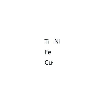 [Cu].[Fe].[Ni].[Ti]